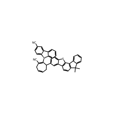 CC1(C)c2ccccc2-c2c1ccc1c2sc2ccc(C3CC=CCC(C#N)=C3n3c4ccccc4c4cc(C#N)ccc43)cc21